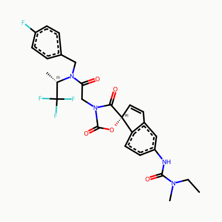 CCN(C)C(=O)Nc1ccc2c(c1)C=C[C@@]21OC(=O)N(CC(=O)N(Cc2ccc(F)cc2)[C@@H](C)C(F)(F)F)C1=O